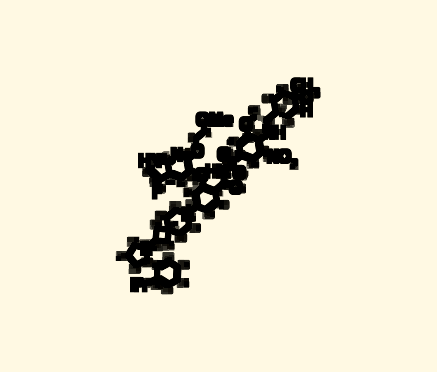 COCCOc1nc2[nH]cc(F)c2cc1Oc1cc(N2CCC3(CC2)CC(N2CCC[C@H]2c2ccccc2C(C)C)C3)ccc1C(=O)NS(=O)(=O)c1cc2c(c([N+](=O)[O-])c1)N[C@@H]([C@H]1CC[C@](C)(O)CC1)CO2